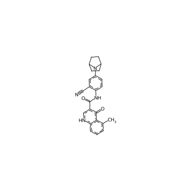 Cc1cccc2[nH]cc(C(=O)Nc3ccc(N4C5CCC4CC5)cc3C#N)c(=O)c12